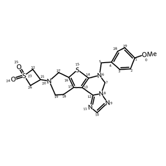 COc1ccc(CN2Cn3ncnc3-c3c2sc2c3CCN(C3CS(=O)(=O)C3)C2)cc1